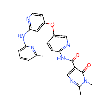 Cc1cccc(Nc2cc(Oc3ccc(NC(=O)c4cnc(C)n(C)c4=O)nc3)ccn2)n1